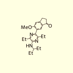 CCc1nc(-c2cc3c(cc2OC)CCC3=O)c(CC)nc1NC(CC)CC